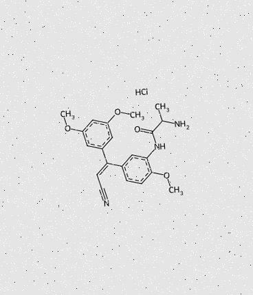 COc1cc(OC)cc(C(=CC#N)c2ccc(OC)c(NC(=O)C(C)N)c2)c1.Cl